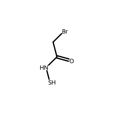 O=C(CBr)NS